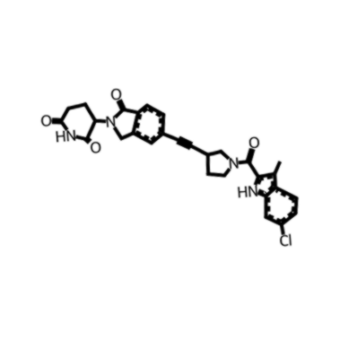 Cc1c(C(=O)N2CCC(C#Cc3ccc4c(c3)CN(C3CCC(=O)NC3=O)C4=O)C2)[nH]c2cc(Cl)ccc12